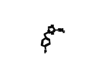 Nc1ncn(Cc2ccc(F)cc2)n1